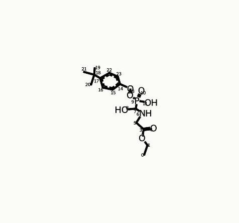 CCOC(=O)CNC(O)P(=O)(O)OOc1ccc(C(C)(C)C)cc1